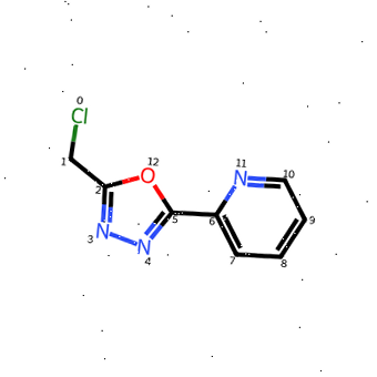 ClCc1nnc(-c2ccccn2)o1